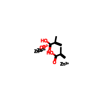 C=C(C)C(=O)O.C=C(C)C(=O)O.[O-2].[O-2].[Zn+2].[Zn+2].[Zn+2]